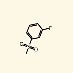 CS(=O)(=O)c1c[c]cc(F)c1